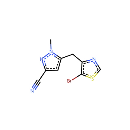 Cn1nc(C#N)cc1Cc1ncsc1Br